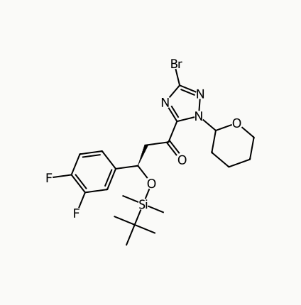 CC(C)(C)[Si](C)(C)O[C@H](CC(=O)c1nc(Br)nn1C1CCCCO1)c1ccc(F)c(F)c1